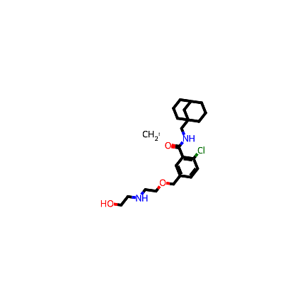 O=C(NCC12CCCC(CCC1)C2)c1cc(COCCNCCO)ccc1Cl.[CH2]